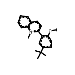 C[n+]1c(-c2cc(C(C)(C)C)ccc2OI)ccc2ccccc21